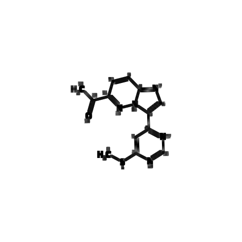 CSc1cc(-c2cnc3ccc(C(C)=O)nn23)ncn1